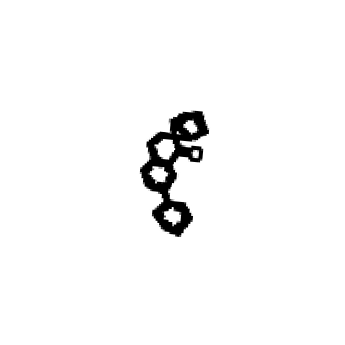 O=C1c2cc(-c3ccccc3)ccc2CCC12CC1C=CC2C1